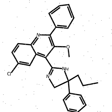 CCCC1(c2ccccc2)CN=C(c2c(OC)c(-c3ccccc3)nc3ccc(Cl)cc23)N1